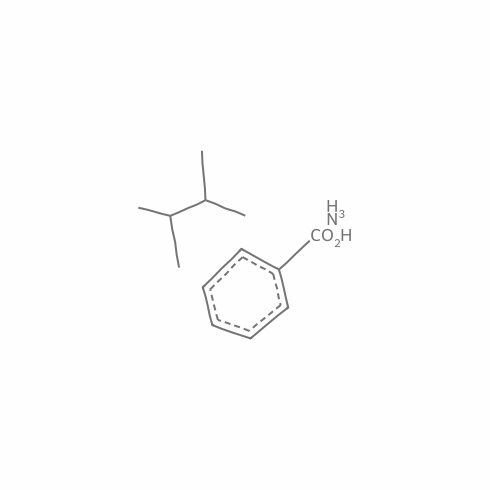 CC(C)C(C)C.N.O=C(O)c1ccccc1